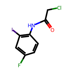 O=C(CCl)Nc1ccc(F)cc1I